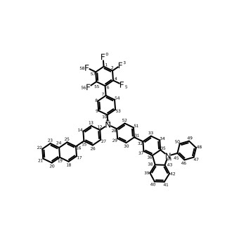 Fc1c(F)c(F)c(-c2ccc(N(c3ccc(-c4ccc5ccccc5c4)cc3)c3ccc(-c4ccc5c(c4)c4ccccc4n5-c4ccccc4)cc3)cc2)c(F)c1F